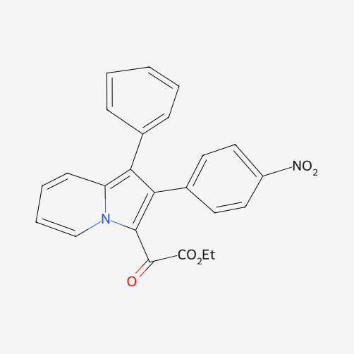 CCOC(=O)C(=O)c1c(-c2ccc([N+](=O)[O-])cc2)c(-c2ccccc2)c2ccccn12